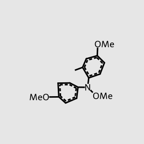 COc1ccc(N(OC)c2ccc(OC)cc2C)cc1